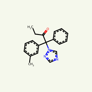 CCC(=O)C(c1ccccc1)(c1cccc(C)c1)n1cncn1